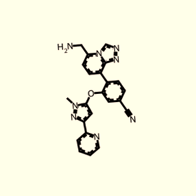 Cn1nc(-c2ccccn2)cc1Oc1cc(C#N)ccc1-c1ccc(CN)n2cnnc12